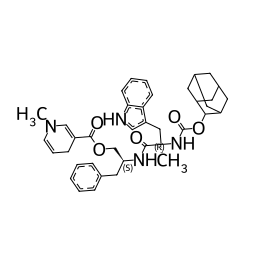 CN1C=CCC(C(=O)OC[C@H](Cc2ccccc2)NC(=O)[C@@](C)(Cc2c[nH]c3ccccc23)NC(=O)OC2C3CC4CC(C3)CC2C4)=C1